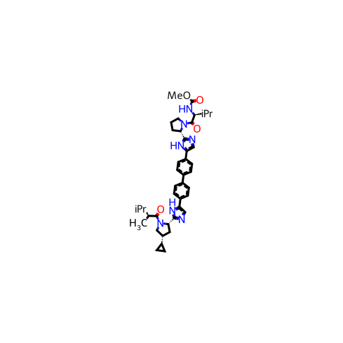 COC(=O)N[C@H](C(=O)N1CCC[C@H]1c1ncc(-c2ccc(-c3ccc(-c4cnc([C@@H]5C[C@H](C6CC6)CN5C(=O)[C@@H](C)C(C)C)[nH]4)cc3)cc2)[nH]1)C(C)C